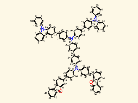 c1ccc(-n2c3ccccc3c3cc(-c4ccc(N(c5ccc(-c6ccc(N(c7ccc(-c8ccc9c(c8)oc8ccccc89)cc7)c7ccc(-c8cccc9c8oc8ccccc89)cc7)cc6)cc5)c5ccc(-c6ccc7c(c6)c6ccccc6n7-c6ccccc6)cc5)cc4)ccc32)cc1